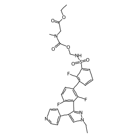 CCOC(=O)CN(C)C(=O)OCNS(=O)(=O)c1cccc(-c2ccc(F)c(-c3nn(CC)cc3-c3ccncc3)c2F)c1F